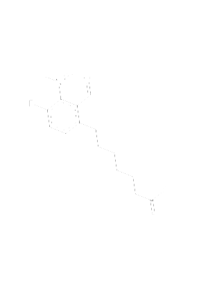 O=Cc1c(CCCCCCC(=O)Cl)ccc(F)c1[N+](=O)[O-]